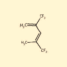 C=C(/C=C(\C)C(F)(F)F)C(F)(F)F